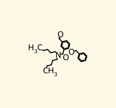 CCCCCN(CCCCC)C(=O)c1cc(C=O)ccc1OCc1ccccc1